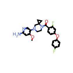 COc1cc(N)ncc1N1CCN(C(=O)c2ccc(Oc3ccc(F)cc3)cc2F)C2(CC2)C1